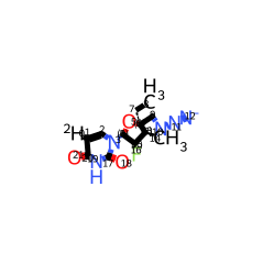 [2H]c1cn([C@@H]2O[C@@](CC)(CN=[N+]=[N-])[C@@H](C)[C@H]2F)c(=O)[nH]c1=O